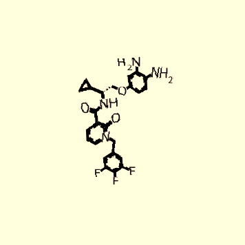 Nc1ccc(OC[C@H](NC(=O)c2cccn(Cc3cc(F)c(F)c(F)c3)c2=O)C2CC2)cc1N